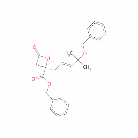 CC(C)(/C=C/C[C@]1(C(=O)OCc2ccccc2)CC(=O)O1)OCc1ccccc1